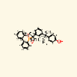 CC(C)(c1ccc(O)cc1)c1cccc(C(C)(C)P2(=O)Oc3ccccc3-c3ccccc32)c1